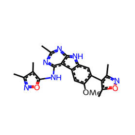 COc1cc2c(cc1-c1c(C)noc1C)[nH]c1nc(C)nc(Nc3onc(C)c3C)c12